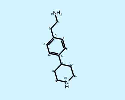 NCCc1ccc(C2CCNCC2)cc1